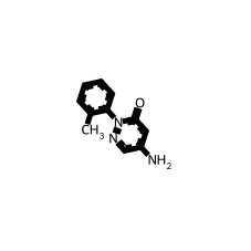 Cc1ccccc1-n1ncc(N)cc1=O